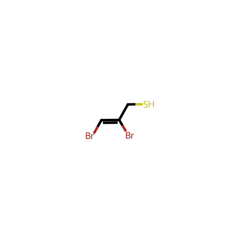 SCC(Br)=CBr